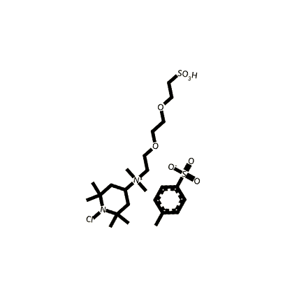 CC1(C)CC([N+](C)(C)CCOCCOCCS(=O)(=O)O)CC(C)(C)N1Cl.Cc1ccc(S(=O)(=O)[O-])cc1